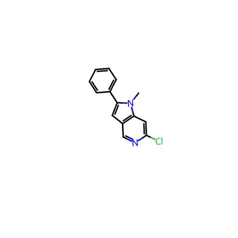 Cn1c(-c2ccccc2)cc2cnc(Cl)cc21